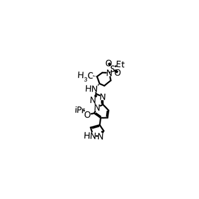 CCS(=O)(=O)N1CC[C@H](Nc2nc3ccc(-c4cn[nH]c4)c(OC(C)C)n3n2)[C@H](C)C1